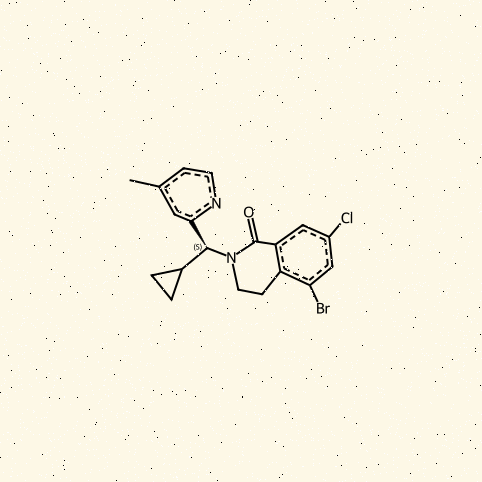 Cc1ccnc([C@H](C2CC2)N2CCc3c(Br)cc(Cl)cc3C2=O)c1